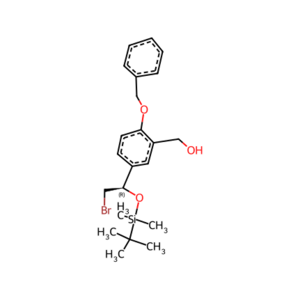 CC(C)(C)[Si](C)(C)O[C@@H](CBr)c1ccc(OCc2ccccc2)c(CO)c1